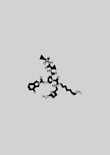 C/C=C\CCCCC[C@H](NCc1ccc(C)o1)C(=O)N1C[C@H](OC(=O)N2Cc3cccc(F)c3C2)C[C@H]1C(=O)NC1(C(=O)NS(=O)(=O)C2CC2)CC1